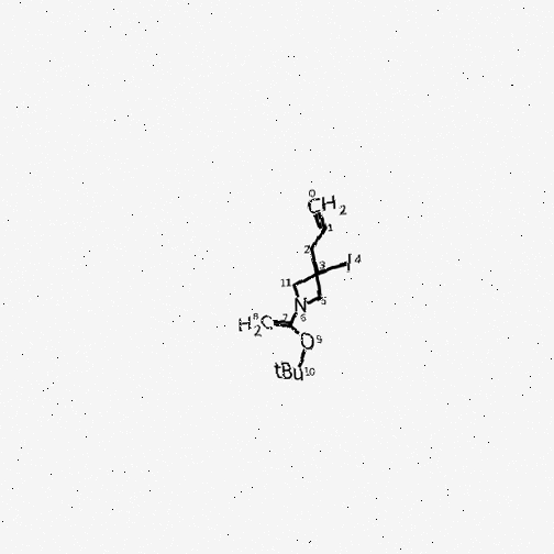 C=CCC1(I)CN(C(=C)OC(C)(C)C)C1